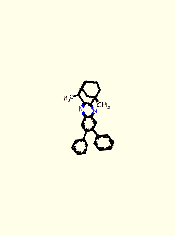 CC1c2nc3cc(-c4ccccc4)c(-c4ccccc4)cc3nc2C2(C)CCCC1C2